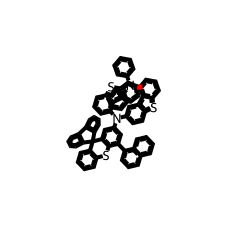 c1ccc(N(c2ccccc2)c2cccc3sc4ccc(N(c5cc(-c6cccc7ccccc67)c6c(c5)C5(c7ccccc7S6)c6ccccc6-c6ccccc65)c5cccc6sc7ccccc7c56)cc4c23)cc1